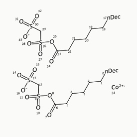 CCCCCCCCCCCCCCCC(=O)OS(=O)(=O)CS(=O)(=O)[O-].CCCCCCCCCCCCCCCC(=O)OS(=O)(=O)CS(=O)(=O)[O-].[Co+2]